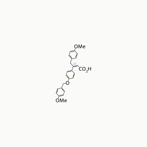 COc1ccc(COc2ccc(/C(=C\C(=O)O)Cc3ccc(OC)cc3)cc2)cc1